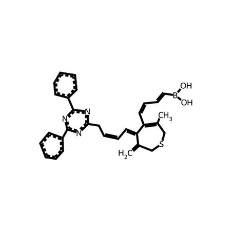 C=C1CSCC(C)=C(/C=C\C=C\B(O)O)/C1=C/C=C\Cc1nc(-c2ccccc2)nc(-c2ccccc2)n1